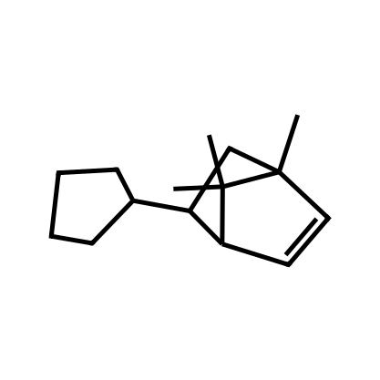 CC12C=CC(C(C3CCCC3)C1)C2(C)C